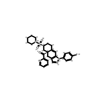 O=C(c1ccccn1)[C@]12Cc3cnn(-c4ccc(F)cc4)c3C=C1CC[C@H](S(=O)(=O)N1CCCCC1)C2